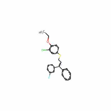 O=C(O)COc1ccc(SC/C=C(/c2ccccc2)c2cccc(F)c2)cc1Cl